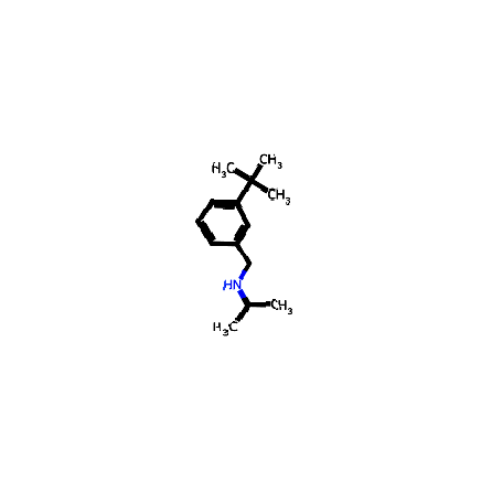 CC(C)NCc1cccc(C(C)(C)C)c1